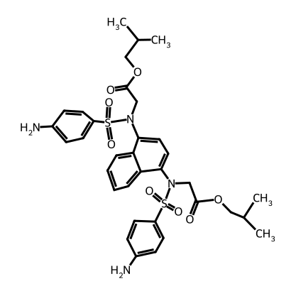 CC(C)COC(=O)CN(c1ccc(N(CC(=O)OCC(C)C)S(=O)(=O)c2ccc(N)cc2)c2ccccc12)S(=O)(=O)c1ccc(N)cc1